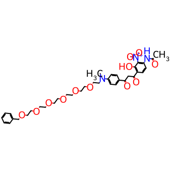 CC(=O)Nc1ccc(C(=O)CC(=O)c2ccc(N(C)CCOCCOCCOCCOCCOCCOCc3ccccc3)cc2)c(O)c1[N+](=O)[O-]